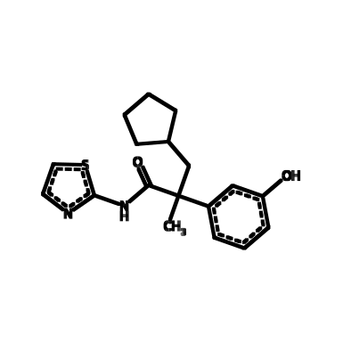 CC(CC1CCCC1)(C(=O)Nc1nccs1)c1cccc(O)c1